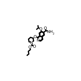 CCCCOC(=O)N1CCCC(Oc2nccc3cc(C(N)=O)c(OC(C)C)cc23)C1